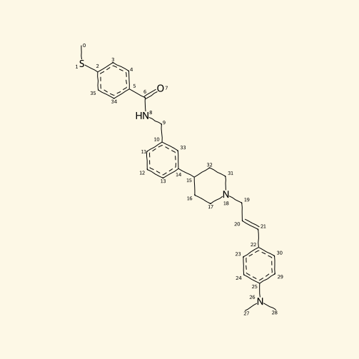 CSc1ccc(C(=O)NCc2cccc(C3CCN(C/C=C/c4ccc(N(C)C)cc4)CC3)c2)cc1